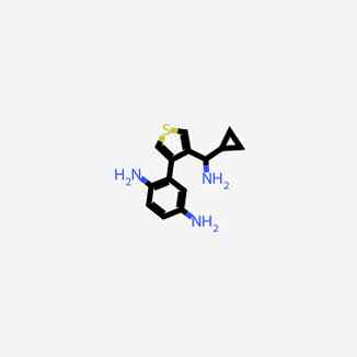 Nc1ccc(N)c(-c2cscc2C(N)C2CC2)c1